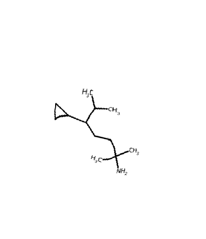 CC(C)C(CCC(C)(C)N)C1CC1